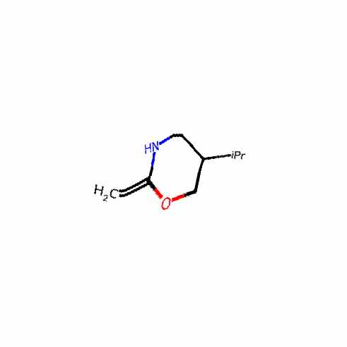 C=C1NCC(C(C)C)CO1